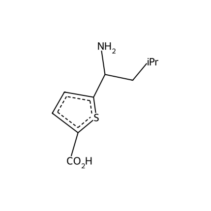 CC(C)CC(N)c1ccc(C(=O)O)s1